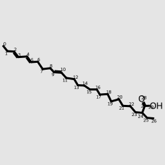 CC/C=C/C=C/CCC/C=C/CCCCCCCCCCCCCC(CC)C(=O)O